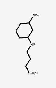 CCCCCCCCCCNC1CCCC(N)C1